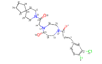 O=C(/C=C/c1ccc(Cl)c(Cl)c1)N1CCC(=O)N(CC(=O)N2CCC3(CCCC3)CC2)CC1